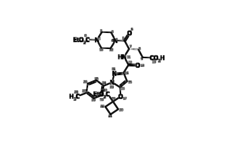 CCOC(=O)N1CCN(C(=O)[C@H](CCC(=O)O)NC(=O)c2cc(OC3(C(=O)OCC)CCC3)n(-c3ccc(C)cc3)n2)CC1